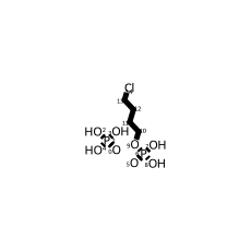 O=P(O)(O)O.O=P(O)(O)OCCCCCl